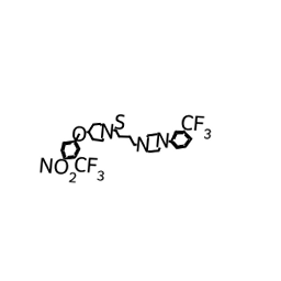 O=[N+]([O-])c1ccc(OC2CCN(C(=S)CCCN3CCN(c4cccc(C(F)(F)F)c4)CC3)CC2)cc1C(F)(F)F